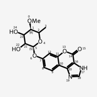 CO[C@H]1C(C)O[C@@H](Oc2ccc3c(c2)oc(=O)c2[nH]cnc23)C(O)C1O